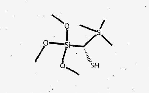 CO[Si](OC)(OC)[C@@H](S)[Si](C)(C)C